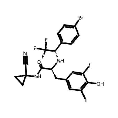 N#CC1(NC(=O)[C@H](Cc2cc(I)c(O)c(I)c2)N[C@@H](c2ccc(Br)cc2)C(F)(F)F)CC1